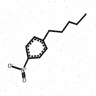 CC[CH]CCc1ccc([N+](=O)[O-])cc1